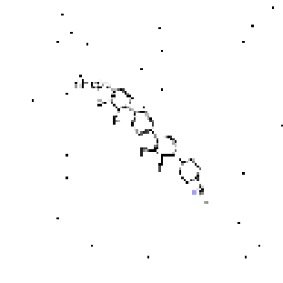 C/C=C/C1CCC(c2ccc(-c3ccc(-c4ccc(CCCCCCC)c(F)c4F)cc3)c(F)c2F)CC1